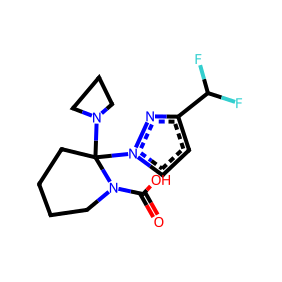 O=C(O)N1CCCCC1(N1CCC1)n1ccc(C(F)F)n1